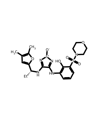 CC[C@@H](Nc1n[s+]([O-])nc1Nc1cccc(S(=O)(=O)N2CCOCC2)c1O)c1cc(C)c(C)o1